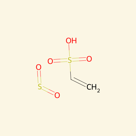 C=CS(=O)(=O)O.O=S=O